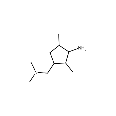 CC1CC(CN(C)C)C(C)C1N